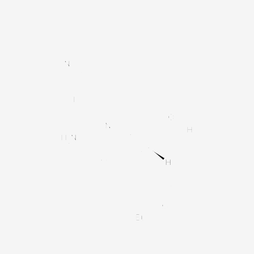 CCO[C@H]1CC[C@@H]2Oc3ccc(-c4cccnc4F)cc3C3(COC(N)=N3)[C@H]2C1